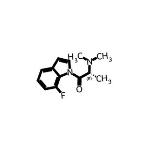 C[C@H](C(=O)n1ccc2cccc(F)c21)N(C)C